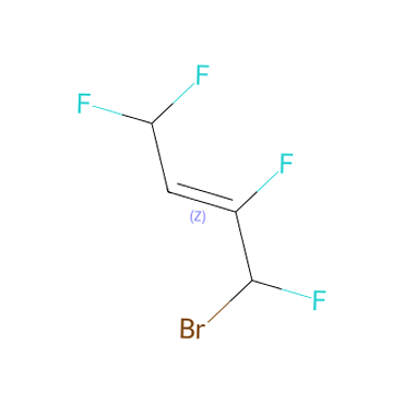 F/C(=C\C(F)F)C(F)Br